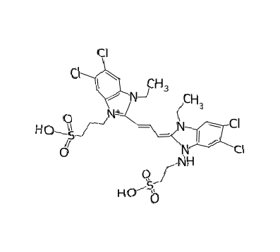 CCN1C(=CC=Cc2n(CC)c3cc(Cl)c(Cl)cc3[n+]2CCCS(=O)(=O)O)N(NCCS(=O)(=O)O)c2cc(Cl)c(Cl)cc21